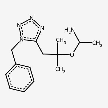 CC(N)OC(C)(C)Cc1nnnn1Cc1ccccc1